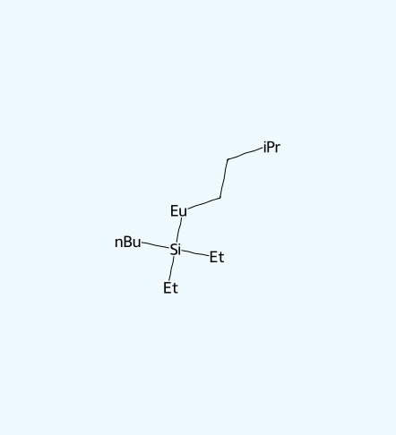 CCCC[Si](CC)(CC)[Eu][CH2]CC(C)C